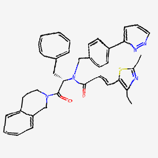 Cc1nc(C)c(C=CC(=O)N(Cc2ccc(-c3cccnn3)cc2)[C@@H](Cc2ccccc2)C(=O)N2CCc3ccccc3C2)s1